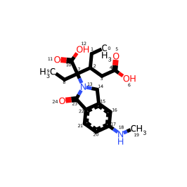 CCC(CC(=O)O)C(CC)(C(=O)O)N1Cc2cc(NC)ccc2C1=O